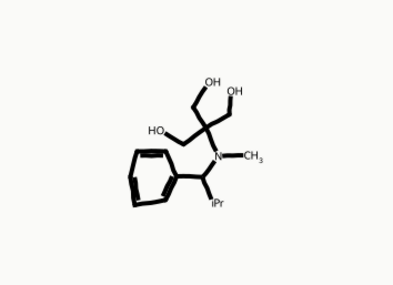 CC(C)C(c1ccccc1)N(C)C(CO)(CO)CO